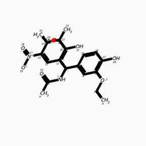 CCOc1cc(C(NC(C)=O)C(/C=C(\C(C)C)[N+](=O)[O-])=C(\O)C(C)C)ccc1O